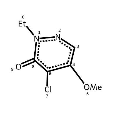 CCn1ncc(OC)c(Cl)c1=O